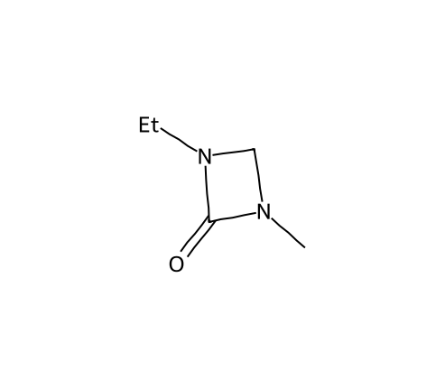 CCN1CN(C)C1=O